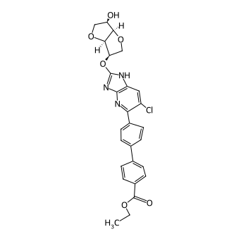 CCOC(=O)c1ccc(-c2ccc(-c3nc4nc(O[C@@H]5CO[C@H]6[C@@H]5OC[C@H]6O)[nH]c4cc3Cl)cc2)cc1